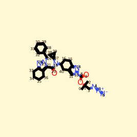 CC(C)(CN=[N+]=[N-])OC(=O)n1cc2c(n1)CCC(N(C(=O)c1c3c(nn1Cc1ccccc1)CCCC3)C1CC1)C2